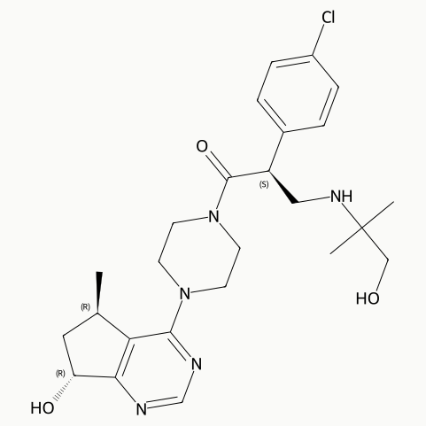 C[C@@H]1C[C@@H](O)c2ncnc(N3CCN(C(=O)[C@H](CNC(C)(C)CO)c4ccc(Cl)cc4)CC3)c21